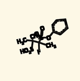 CC(C)(C(C)(F)S(=O)(=O)Oc1ccccc1)S(=O)(=O)O